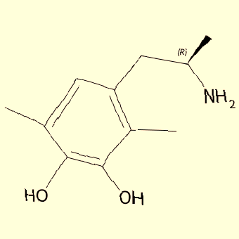 Cc1cc(C[C@@H](C)N)c(C)c(O)c1O